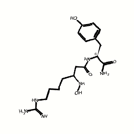 N=C(N)NCCCCC(CC(=O)N[C@@H](Cc1ccc(O)cc1)C(N)=O)NO